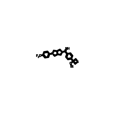 CCOC1(c2ccc(C(=N)N3CC4CN(c5ccc(C(F)(F)F)cc5)CC4C3)cc2)CSC1